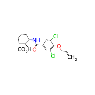 C=CCOc1c(Cl)cc(C(=O)N[C@@H]2CCCC[C@@H]2C(=O)O)cc1Cl